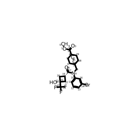 COC(=O)C12CCC(CN(c3cccc(Br)c3)C(=O)[C@H]3C[C@](O)(C(F)(F)F)C3)(CC1)CC2